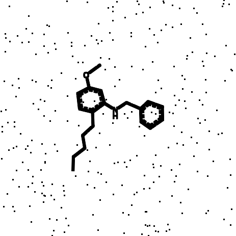 CCCCCc1ccc(OC)cc1NCc1ccccc1